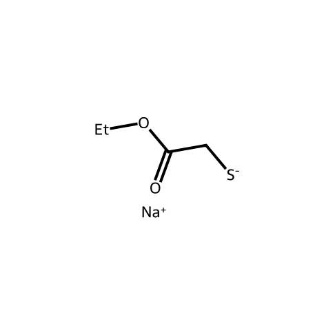 CCOC(=O)C[S-].[Na+]